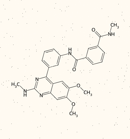 CNC(=O)c1cccc(C(=O)Nc2cccc(-c3nc(NC)nc4cc(OC)c(OC)cc34)c2)c1